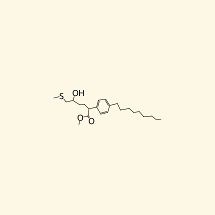 CCCCCCCCCc1ccc(C(CCC(O)CSC)C(=O)OC)cc1